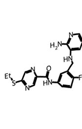 CCSc1cnc(C(=O)Nc2ccc(F)c(CNc3cccnc3N)c2)cn1